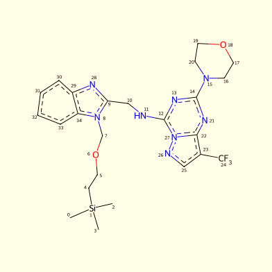 C[Si](C)(C)CCOCn1c(CNc2nc(N3CCOCC3)nc3c(C(F)(F)F)cnn23)nc2ccccc21